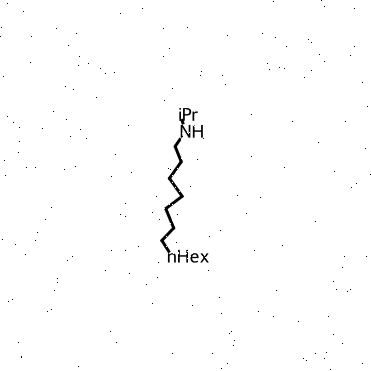 CCCCCCCCCCCCCNC(C)C